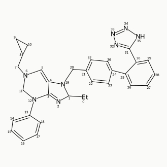 CCC1N=C2C(=CN(CC3CC3)CN2c2ccccc2)N1Cc1ccc(-c2ccccc2-c2nnn[nH]2)cc1